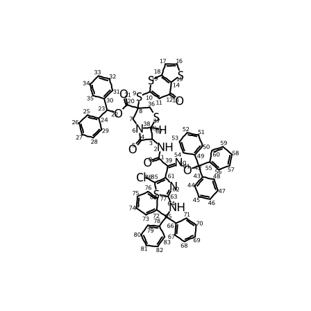 O=C(NC1C(=O)N2CC(Sc3cc(=O)c4sccc4s3)(C(=O)OC(c3ccccc3)c3ccccc3)CS[C@H]12)C(=NOC(c1ccccc1)(c1ccccc1)c1ccccc1)c1nc(NC(c2ccccc2)(c2ccccc2)c2ccccc2)sc1Cl